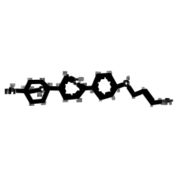 CCC/C=C/COc1ccc(-c2ccc(C34CCC(CCC)(CC3)CC4)cc2)cc1